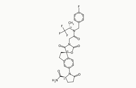 C[C@H](N(Cc1ccc(F)cc1)C(=O)CN1C(=O)O[C@@]2(CCc3cc(N4C(=O)CC[C@H]4C(N)=O)ccc32)C1=O)C(F)(F)F